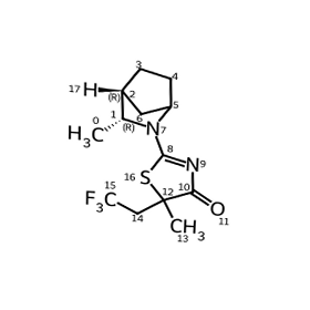 C[C@@H]1[C@@H]2CCC(C2)N1C1=NC(=O)C(C)(CC(F)(F)F)S1